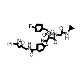 CC(C)c1cc(CNC(=O)c2ccc3sc(C(C(=O)NCC(=O)NC4CC4)S(=O)(=O)Cc4ccc(F)cc4)nc3c2)on1